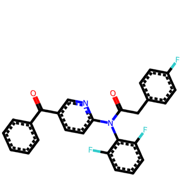 O=C(c1ccccc1)c1ccc(N(C(=O)Cc2ccc(F)cc2)c2c(F)cccc2F)nc1